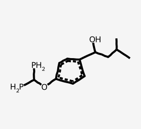 CC(C)CC(O)c1ccc(OC(P)P)cc1